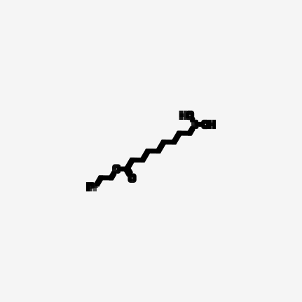 CC(C)CCOC(=O)CCCCCCCCB(O)O